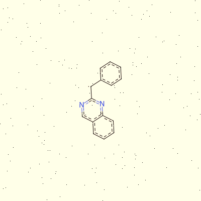 [CH](c1ccccc1)c1ncc2ccccc2n1